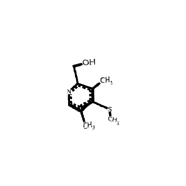 CSc1c(C)cnc(CO)c1C